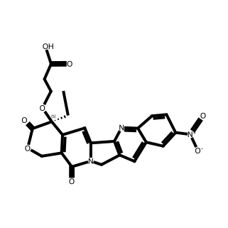 CC[C@@]1(OCCC(=O)O)C(=O)OCc2c1cc1n(c2=O)Cc2cc3cc([N+](=O)[O-])ccc3nc2-1